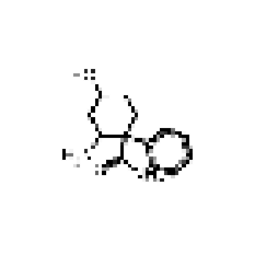 NC(=O)C1(c2ccccc2)CCC(O)CC1N